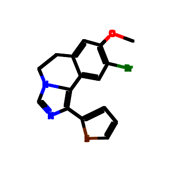 COc1cc2c(cc1Br)-c1c(-c3cccs3)ncn1CC2